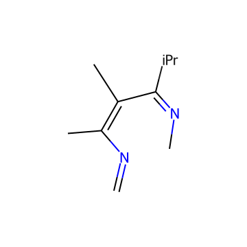 C=N/C(C)=C(C)\C(=N/C)C(C)C